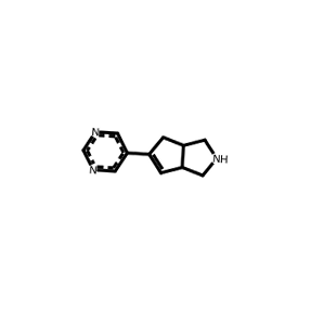 C1=C(c2cncnc2)CC2CNCC12